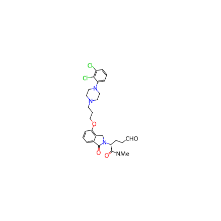 CNC(=O)C(CCC=O)N1Cc2c(OCCCN3CCN(c4cccc(Cl)c4Cl)CC3)cccc2C1=O